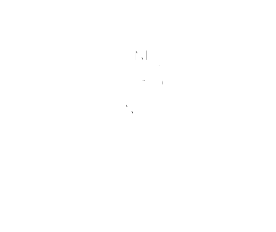 Cc1ccccc1Cn1c(C)ccc1C(N)=O